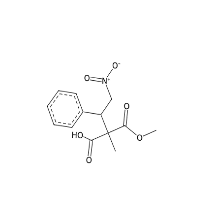 COC(=O)C(C)(C(=O)O)C(C[N+](=O)[O-])c1ccccc1